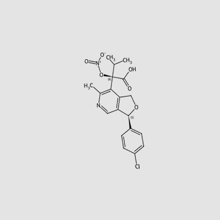 Cc1ncc2c(c1[C@@](O[N+](=O)[O-])(C(=O)O)C(C)C)CO[C@H]2c1ccc(Cl)cc1